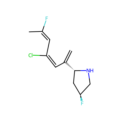 C=C(/C=C(Cl)\C=C(/C)F)[C@H]1C[C@H](F)CN1